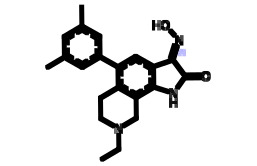 CCN1CCc2c(-c3cc(C)cc(C)c3)cc3c(c2C1)NC(=O)/C3=N/O